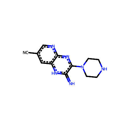 N#Cc1cnc2nc(N3CCNCC3)c(=N)[nH]c2c1